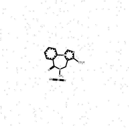 CN1Cc2c(C(=O)O)ncn2-c2ccccc2C1=O.[N-]=[N+]=N